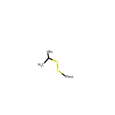 CCCCC(C)SSC(C)CCC